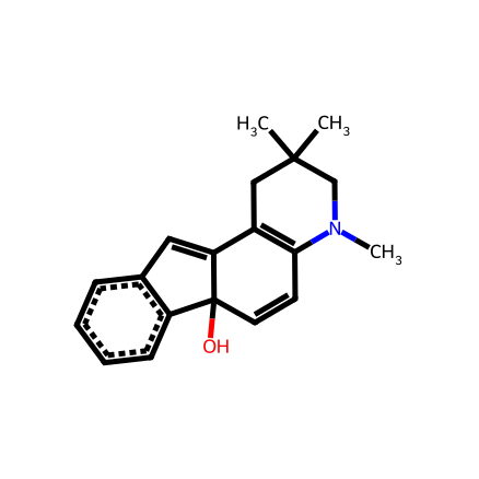 CN1CC(C)(C)CC2=C1C=CC1(O)C2=Cc2ccccc21